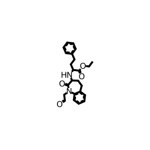 CCOC(=O)C(CCc1ccccc1)NC1CCc2ccccc2N(CC=O)C1=O